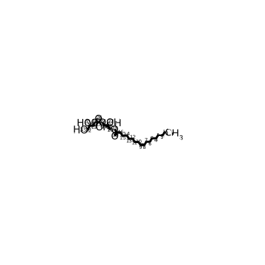 CCCCCCCC/C=C\CCCCCCCC(=O)OC[C@@H](O)COP(=O)(O)OC[C@@H](O)CO